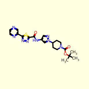 CC(C)(C)OC(=O)N1CCC(n2cc(NC(=O)c3nnc(-c4cnccn4)s3)cn2)CC1